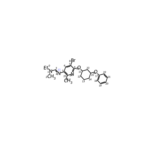 CCN(C)/C=N/c1cc(Br)c(OC2CCCC(Oc3ccccc3)C2)nc1C